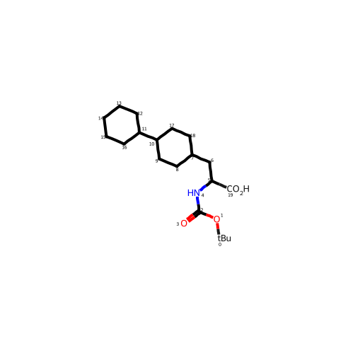 CC(C)(C)OC(=O)NC(CC1CCC(C2CCCCC2)CC1)C(=O)O